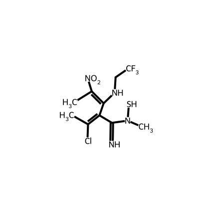 C/C(Cl)=C(C(=N)N(C)S)\C(NCC(F)(F)F)=C(/C)[N+](=O)[O-]